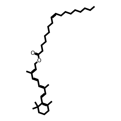 CCCCCCCC/C=C\CCCCCCCC(=O)OCC=C(C)C=CC=C(C)C=CC1=C(C)CCCC1(C)C